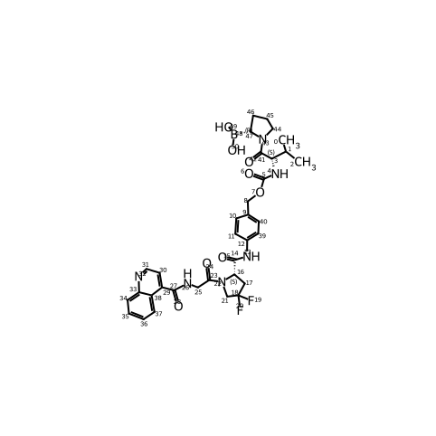 CC(C)[C@H](NC(=O)OCc1ccc(NC(=O)[C@@H]2CC(F)(F)CN2C(=O)CNC(=O)c2ccnc3ccccc23)cc1)C(=O)N1CCC[C@H]1B(O)O